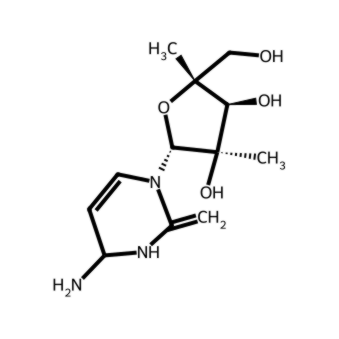 C=C1NC(N)C=CN1[C@@H]1O[C@](C)(CO)[C@@H](O)[C@@]1(C)O